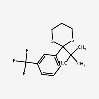 CC(C)(C)C1(c2cccc(C(F)(F)F)c2)SCCCS1